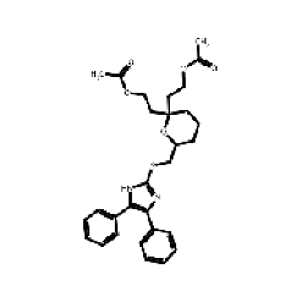 CC(=O)OCCC1(CCOC(C)=O)CCCC(CSc2nc(-c3ccccc3)c(-c3ccccc3)[nH]2)O1